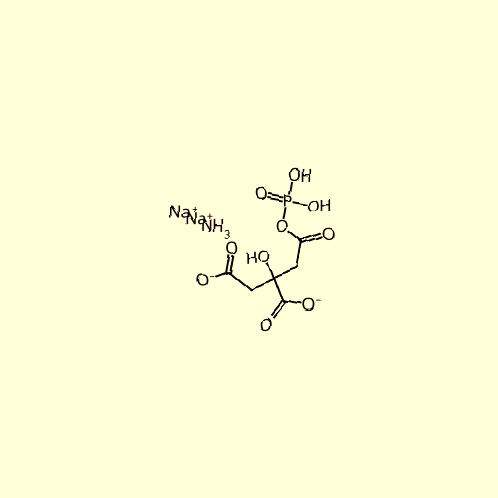 N.O=C([O-])CC(O)(CC(=O)OP(=O)(O)O)C(=O)[O-].[Na+].[Na+]